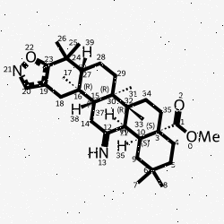 COC(=O)[C@]12CCC(C)(C)C[C@H]1[C@H]1C(=N)C[C@@H]3[C@@]4(C)Cc5cnoc5C(C)(C)[C@@H]4CC[C@@]3(C)[C@]1(C)CC2